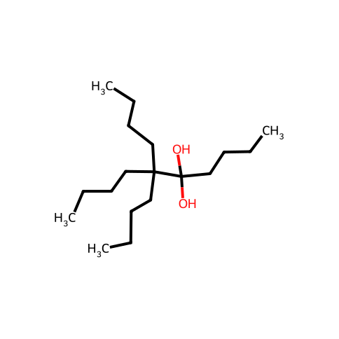 CCCCC(O)(O)C(CCCC)(CCCC)CCCC